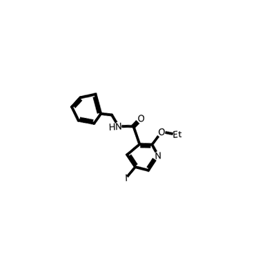 CCOc1ncc(I)cc1C(=O)NCc1ccccc1